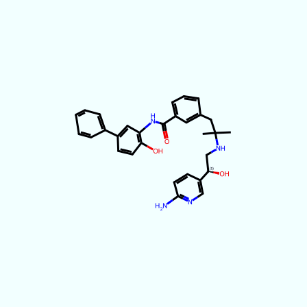 CC(C)(Cc1cccc(C(=O)Nc2cc(-c3ccccc3)ccc2O)c1)NC[C@@H](O)c1ccc(N)nc1